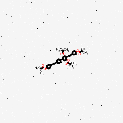 C=C(C)C(=O)Oc1ccc(C#Cc2ccc(-c3cc(OC(=O)C(=C)C)c(C#Cc4ccc(OC(=O)C(=C)C)cc4)c(OC(=O)C(=C)C)c3)cc2)cc1